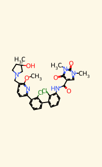 COc1nc(-c2cccc(-c3cccc(NC(=O)c4cn(C)c(=O)n(C)c4=O)c3Cl)c2Cl)ccc1CN1CC[C@@](C)(O)C1